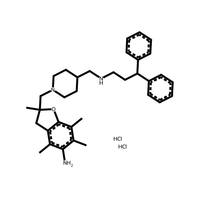 Cc1c(C)c2c(c(C)c1N)CC(C)(CN1CCC(CNCCC(c3ccccc3)c3ccccc3)CC1)O2.Cl.Cl